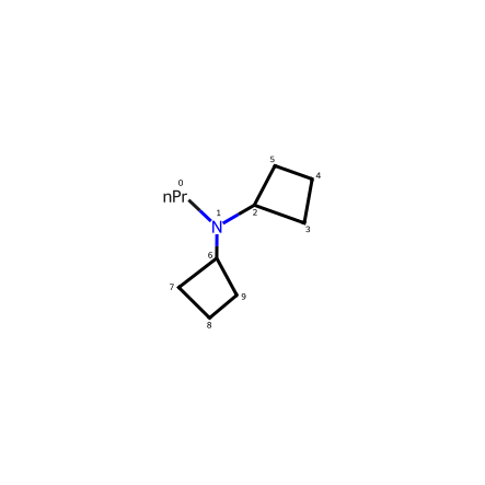 [CH2]CCN(C1CCC1)C1CCC1